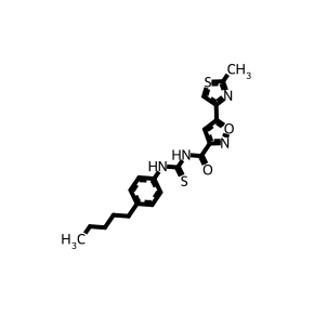 CCCCCc1ccc(NC(=S)NC(=O)c2cc(-c3csc(C)n3)on2)cc1